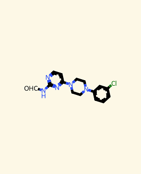 O=CNc1nccc(N2CCN(c3cccc(Cl)c3)CC2)n1